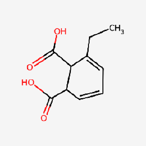 CCC1=CC=CC(C(=O)O)C1C(=O)O